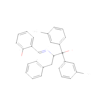 COc1cccc(C(O)(c2cccc(OC)c2)C(Cc2ccccc2)N=Cc2ccccc2O)c1